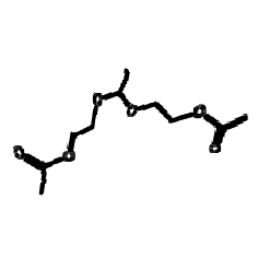 CC(=O)OCCOC(C)OCCOC(C)=O